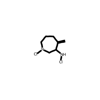 C=C1CCCN(Cl)CC1NCl